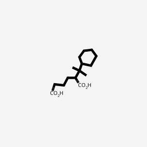 CC(C)(C1CCCCC1)C(CCCC(=O)O)C(=O)O